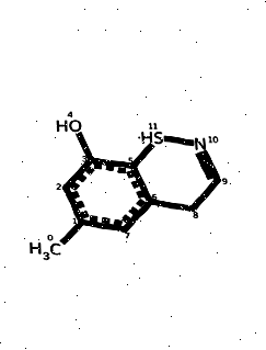 Cc1cc(O)c2c(c1)CC=N[SH]2